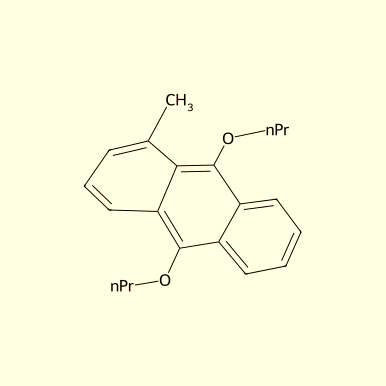 CCCOc1c2ccccc2c(OCCC)c2c(C)cccc12